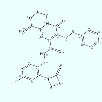 C=C1OCCn2c1nc(C(=O)NCc1ccc(F)cc1N1CCC1=O)c(OCc1ccccc1)c2=O